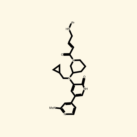 CNc1cc(-c2c[nH]c(=O)c(N(CC3CC3)C3CCCN(C(=O)/C=C/CNC(C)C)C3)c2)ccn1